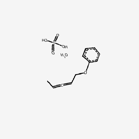 CC=C=CCOc1ccccc1.O.O=S(=O)(O)O